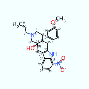 C=CCN1CC[C@@]2(c3cccc(OC)c3)Cc3[nH]c4c([N+](=O)[O-])cccc4c3C[C@]2(O)C1